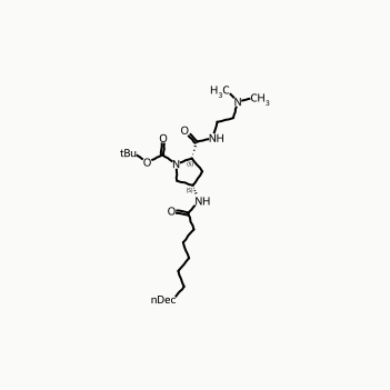 CCCCCCCCCCCCCCCC(=O)N[C@H]1C[C@@H](C(=O)NCCN(C)C)N(C(=O)OC(C)(C)C)C1